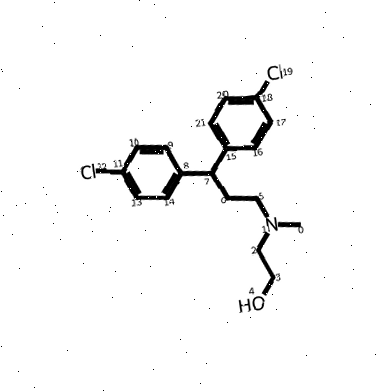 CN(CCO)CCC(c1ccc(Cl)cc1)c1ccc(Cl)cc1